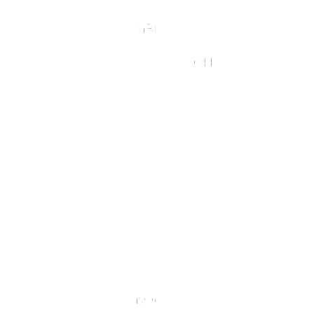 C[CH]CCC(O)CCCCCCCCCCCCCCC